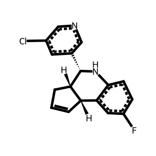 Fc1ccc2c(c1)[C@@H]1C=CC[C@@H]1[C@H](c1cncc(Cl)c1)N2